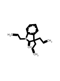 C=CCN1C(=C)C(CC=C)(CC=C)c2ccccc21